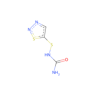 NC(=O)NSc1cnns1